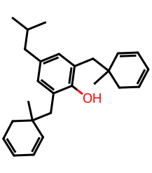 CC(C)Cc1cc(CC2(C)C=CC=CC2)c(O)c(CC2(C)C=CC=CC2)c1